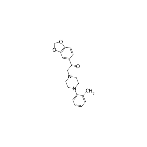 Cc1ccccc1N1CCN(CC(=O)c2ccc3c(c2)OCO3)CC1